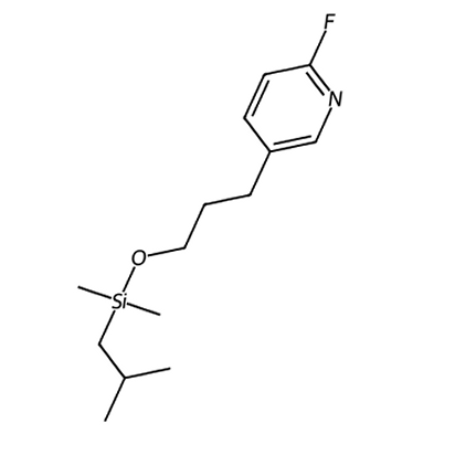 CC(C)C[Si](C)(C)OCCCc1ccc(F)nc1